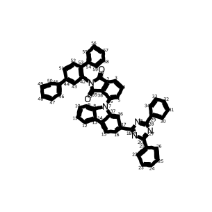 O=C1c2cccc(-n3c4ccccc4c4ccc(-c5nc(-c6ccccc6)nc(-c6ccccc6)n5)cc43)c2C(=O)N1c1cc(-c2ccccc2)ccc1-c1ccccc1